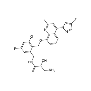 C=C(NCc1cc(F)cc(Cl)c1COc1cccc2c(-n3cc(F)cn3)cc(C)nc12)C(O)CN